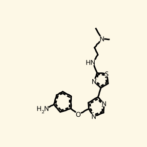 CN(C)CCNc1nc(-c2cc(Oc3cccc(N)c3)ncn2)cs1